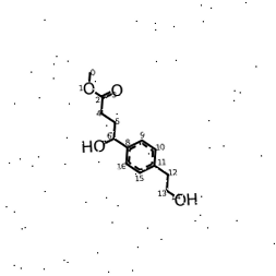 COC(=O)CCC(O)c1ccc(CCO)cc1